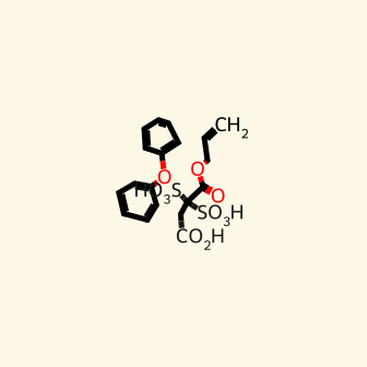 C=CCOC(=O)C(CC(=O)O)(S(=O)(=O)O)S(=O)(=O)O.c1ccc(Oc2ccccc2)cc1